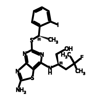 C[C@H](Sc1nc(N[C@@H](CO)CC(C)(C)F)c2sc(N)nc2n1)c1ccccc1I